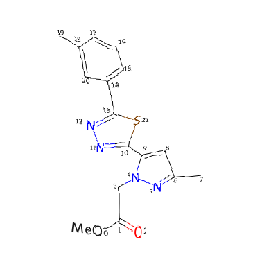 COC(=O)Cn1nc(C)cc1-c1nnc(-c2cccc(C)c2)s1